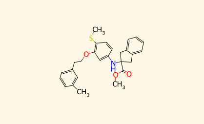 COC(=O)C1(Nc2ccc(SC)c(OCCc3cccc(C)c3)c2)Cc2ccccc2C1